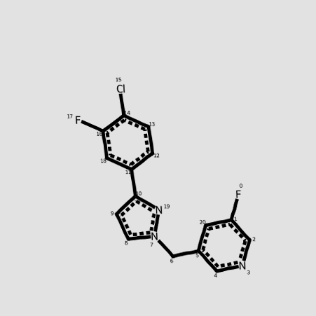 Fc1cncc(Cn2ccc(-c3ccc(Cl)c(F)c3)n2)c1